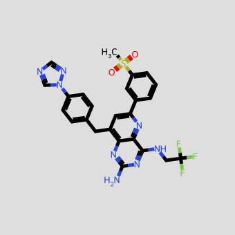 CS(=O)(=O)c1cccc(-c2cc(Cc3ccc(-n4cncn4)cc3)c3nc(N)nc(NCC(F)(F)F)c3n2)c1